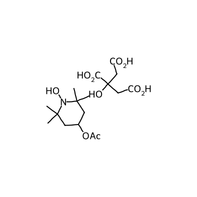 CC(=O)OC1CC(C)(C)N(O)C(C)(C)C1.O=C(O)CC(O)(CC(=O)O)C(=O)O